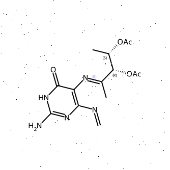 C=Nc1nc(N)[nH]c(=O)c1/N=C(\C)[C@@H](OC(C)=O)[C@H](C)OC(C)=O